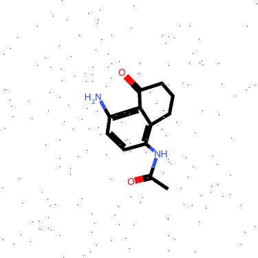 CC(=O)Nc1ccc(N)c2c1CCCC2=O